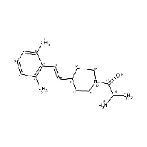 Cc1cccc(C)c1/C=C/C1CCN(C(=O)C(C)N)CC1